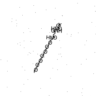 CCOCCOCCOCCOCCOCCOCCOCCNC(=O)CCC(=O)NNC(=O)OC(C)(C)C